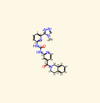 CC(C)n1cnnc1-c1cccc(NC(=O)Nc2cc(C(=O)N3CCc4ccccc4C3)ccn2)n1